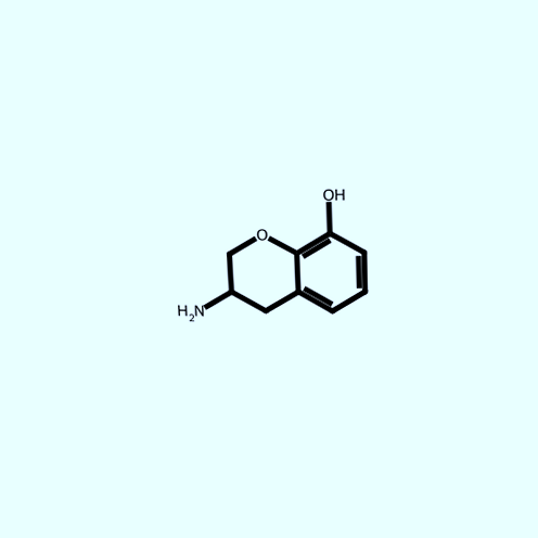 NC1COc2c(O)cccc2C1